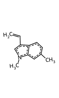 C=Cc1cn(C)c2cc(C)ccc12